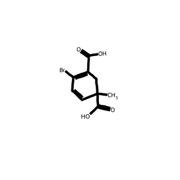 CC1(C(=O)O)C=CC(Br)=C(C(=O)O)C1